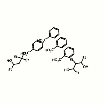 CCC(O)C(CC)C(O)CC.CCC(O)CC(O)(CC)CC.O=C(O)c1ccccc1.O=C(O)c1ccccc1.O=C(O)c1ccccc1.O=C(O)c1ccccc1